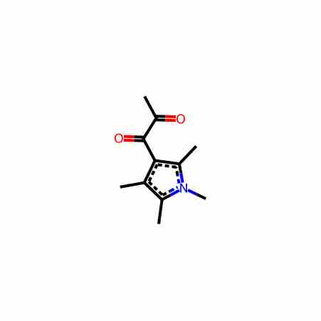 CC(=O)C(=O)c1c(C)c(C)n(C)c1C